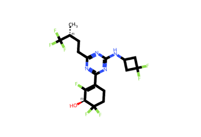 C[C@H](CCc1nc(NC2CC(F)(F)C2)nc(C2=C(F)[C@H](O)C(F)(F)CC2)n1)C(F)(F)F